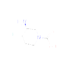 N[C@H]1CN(C(=O)O)CC[C@@H]1F